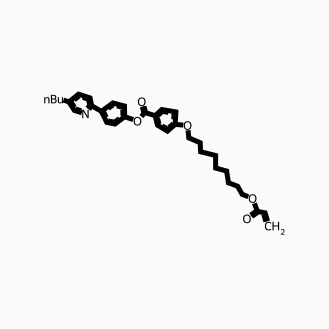 C=CC(=O)OCCCCCCCCCOc1ccc(C(=O)Oc2ccc(-c3ccc(CCCC)cn3)cc2)cc1